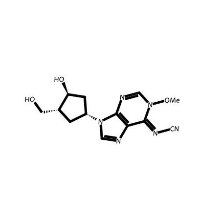 COn1cnc2c(ncn2[C@@H]2C[C@H](CO)[C@@H](O)C2)c1=NC#N